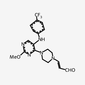 COc1ncc(Nc2ccc(C(F)(F)F)cc2)c(N2CCN(C=CC=O)CC2)n1